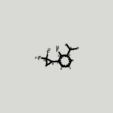 CC(C)c1cccc(C2CC2(F)F)c1F